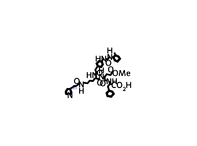 COC(=O)CCC(NC(=O)C(CCCCNC(=O)/C=C/c1cccnc1)NC(=O)Cc1ccc(NC(=O)Nc2ccccc2C)cc1)C(=O)NC(Cc1ccccc1)C(=O)O